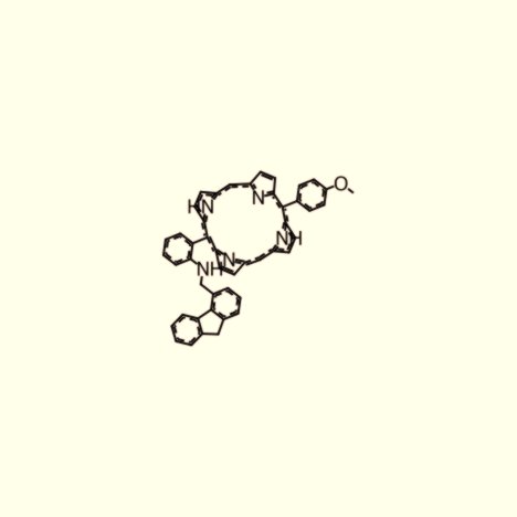 COc1ccc(-c2c3nc(cc4ccc([nH]4)c(-c4ccccc4NCc4cccc5c4-c4ccccc4C5)c4nc(cc5ccc2[nH]5)C=C4)C=C3)cc1